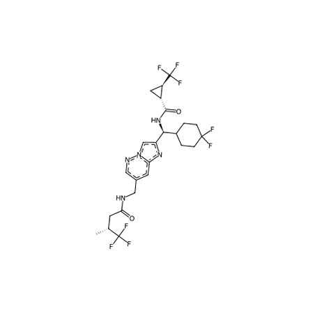 C[C@H](CC(=O)NCc1cnn2cc([C@@H](NC(=O)[C@@H]3C[C@H]3C(F)(F)F)C3CCC(F)(F)CC3)nc2c1)C(F)(F)F